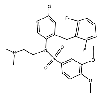 COc1ccc(S(=O)(=O)N(CCN(C)C)c2ccc(Cl)cc2Cc2c(F)cccc2F)cc1OC